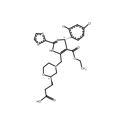 CCOC(=O)C1=C(CN2CCO[C@H](CCC(=O)O)C2)NC(c2nccs2)=N[C@@H]1c1ccc(Cl)cc1Cl